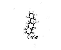 COc1ccc2cc3c(cc2c1)Cc1ccccc1-3